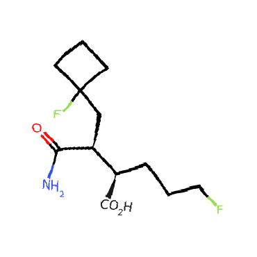 NC(=O)[C@@H](CC1(F)CCC1)[C@@H](CCCF)C(=O)O